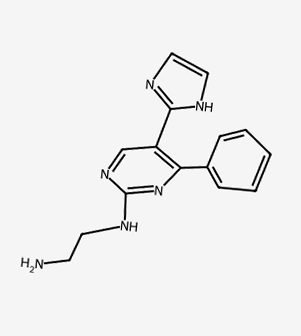 NCCNc1ncc(-c2ncc[nH]2)c(-c2ccccc2)n1